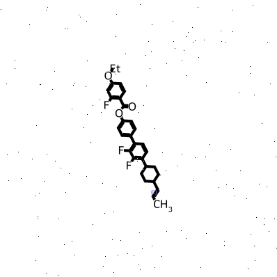 C/C=C/C1CCC(c2ccc(-c3ccc(OC(=O)c4ccc(OCC)cc4F)cc3)c(F)c2F)CC1